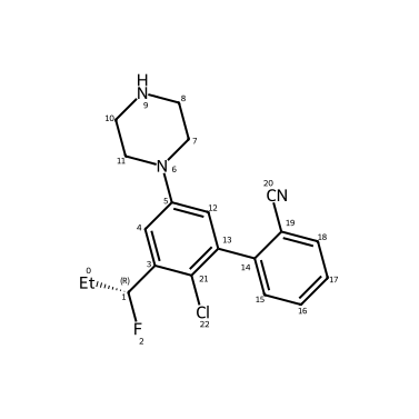 CC[C@@H](F)c1cc(N2CCNCC2)cc(-c2ccccc2C#N)c1Cl